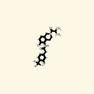 CC(C)C(=O)N1CCc2c(ccc(Cl)c2NC(=O)Cc2ccc(C(F)(F)F)c(F)c2)C1